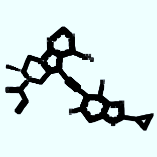 C=CC(=O)N1Cc2c(C#Cc3c(F)cc4sc(C5CC5)nc4c3F)c3c(N)ncnc3n2C[C@H]1C